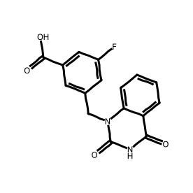 O=C(O)c1cc(F)cc(Cn2c(=O)[nH]c(=O)c3ccccc32)c1